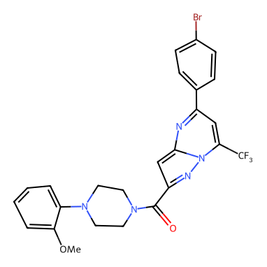 COc1ccccc1N1CCN(C(=O)c2cc3nc(-c4ccc(Br)cc4)cc(C(F)(F)F)n3n2)CC1